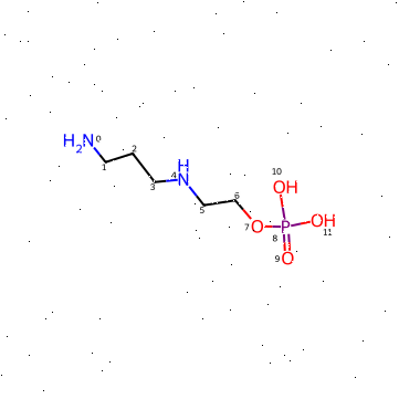 NCCCNCCOP(=O)(O)O